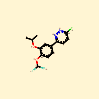 CC(C)Oc1cc(-c2ccc(Cl)nn2)ccc1OC(F)F